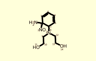 NC1([N+](=O)[O-])C=CC=CC1N(CCO)CCO